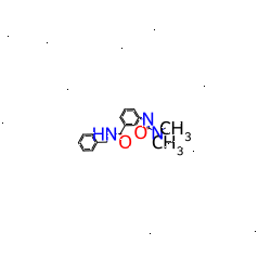 CN(C)c1nc2cccc(C(=O)NCc3ccccc3)c2o1